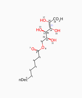 CCCCCCCCCCCCCCCC(=O)OC[C@H](O)[C@@H](O)/C(O)=C(\O)C(=O)O